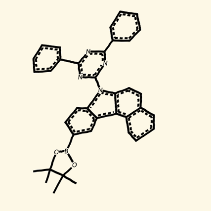 CC1(C)OB(c2ccc3c(c2)c2c4ccccc4ccc2n3-c2nc(-c3ccccc3)nc(-c3ccccc3)n2)OC1(C)C